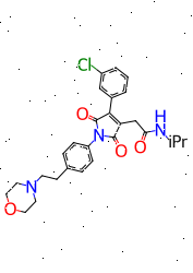 CC(C)NC(=O)CC1=C(c2cccc(Cl)c2)C(=O)N(c2ccc(CCN3CCOCC3)cc2)C1=O